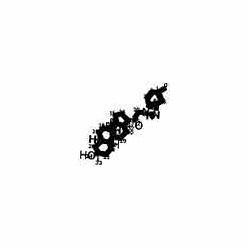 Cc1ccc2c(c1)nnn2CC(=O)[C@H]1CC[C@H]2[C@@H]3CC[C@@H]4C[C@](C)(O)CC[C@@H]4[C@H]3CC[C@]12C